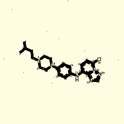 CC(C)CCN1CCN(c2ccc(Nc3ccc(Cl)n4ncnc34)cc2)CC1